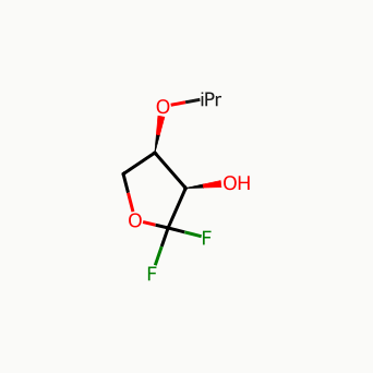 CC(C)O[C@@H]1COC(F)(F)[C@@H]1O